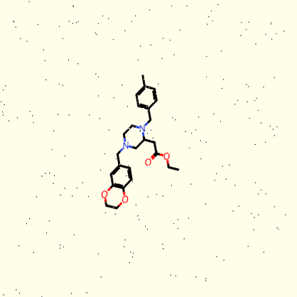 CCOC(=O)CC1CN(Cc2ccc3c(c2)OCCO3)CCN1Cc1ccc(C)cc1